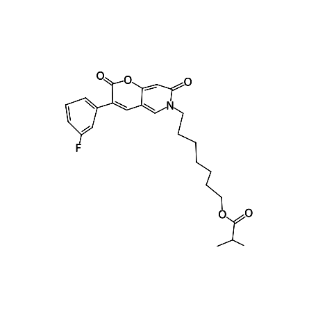 CC(C)C(=O)OCCCCCCCn1cc2cc(-c3cccc(F)c3)c(=O)oc2cc1=O